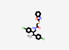 CC(c1ccc(Cl)cc1)C(CNC(=O)CSc1nc2ccccc2o1)c1ccc(Cl)cc1